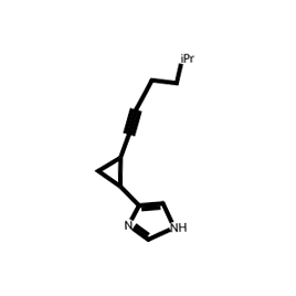 CC(C)CCC#CC1CC1c1c[nH]cn1